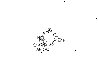 COC(=O)c1c2c3ccc(Cl)c(c3n1COCC[Si](C)(C)C)-c1c(cnn1C)CSCc1cc(n(C)n1)CCc1cc(c3ccc(F)cc3c1)OCCC2